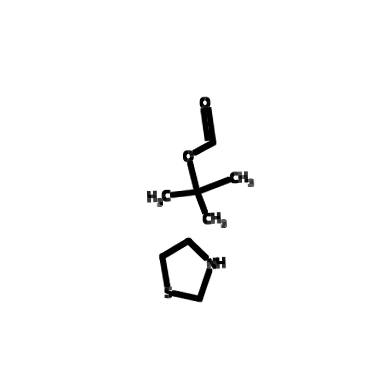 C1CSCN1.CC(C)(C)OC=O